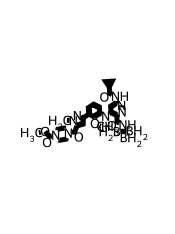 BC(B)(B)NC(=O)c1nnc(NC(=O)C2CC2)cc1Nc1cccc(-c2cc(C(=O)N3CCN(C(=O)OC)CC3)n(C)n2)c1OC